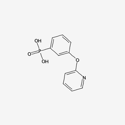 O=P(O)(O)c1cccc(Oc2ccccn2)c1